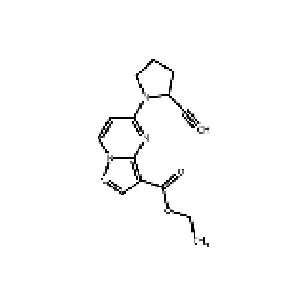 C#CC1CCCN1c1ccn2ncc(C(=O)OCC)c2n1